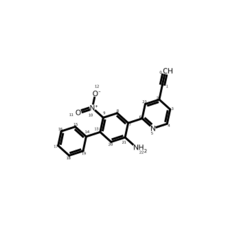 C#Cc1ccnc(-c2cc([N+](=O)[O-])c(-c3ccccc3)cc2N)c1